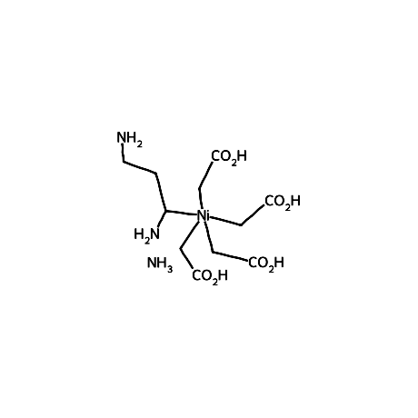 N.NCC[CH](N)[Ni]([CH2]C(=O)O)([CH2]C(=O)O)([CH2]C(=O)O)[CH2]C(=O)O